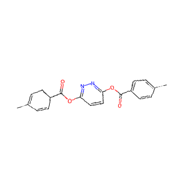 CC1=CCC(C(=O)Oc2ccc(OC(=O)c3ccc(C)cc3)nn2)C=C1